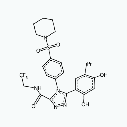 CC(C)c1cc(-c2nnc(C(=O)NCC(F)(F)F)n2-c2ccc(S(=O)(=O)N3CCCCC3)cc2)c(O)cc1O